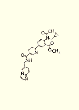 COC(=O)c1cc(-c2ccc(C(=O)NCc3ccc4nccn4c3)cn2)ccc1N(CC1CC1)C(C)=O